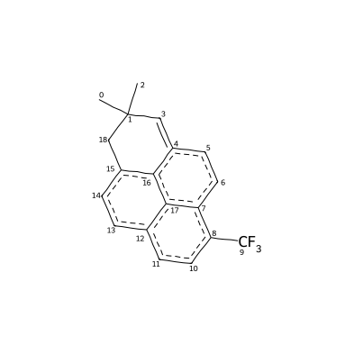 CC1(C)C=c2ccc3c(C(F)(F)F)ccc4ccc(c2c43)C1